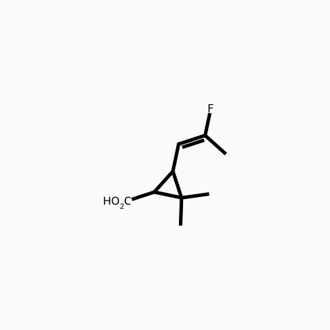 C/C(F)=C\C1C(C(=O)O)C1(C)C